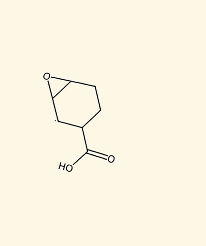 O=C(O)C1[CH]C2OC2CC1